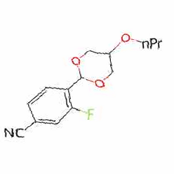 CCCOC1COC(c2ccc(C#N)cc2F)OC1